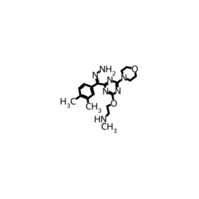 CNCCOc1nc(/C(=N\N)c2ccc(C)c(C)c2)nc(N2CCOCC2)n1